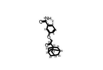 NC(=O)c1cccc(OCC(=O)C23CC4CC(CC(C4)C2)C3)c1